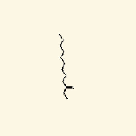 COCCOCCSCC(=O)OC